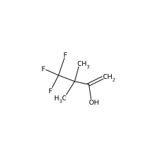 C=C(O)C(C)(C)C(F)(F)F